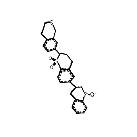 O=S1(=O)c2ccc(C3Cc4ccccc4[S+]([O-])C3)cc2CCC1c1ccc2c(c1)CSCC2